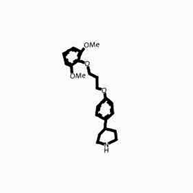 COc1cccc(OC)c1OCCCOc1ccc(C2CCNCC2)cc1